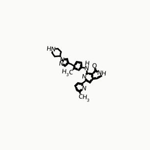 Cc1cccc(-c2cc3cc[nH]c(=O)c3c(Nc3ccc(-c4cnn(C5CCNCC5)c4)c(C)c3)n2)n1